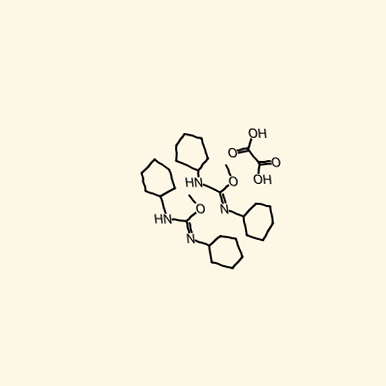 COC(=NC1CCCCC1)NC1CCCCC1.COC(=NC1CCCCC1)NC1CCCCC1.O=C(O)C(=O)O